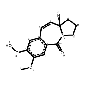 COc1cc2c(cc1OO)C=C[C@@H]1CCCN1C2=O